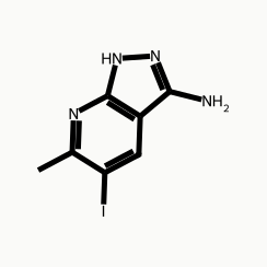 Cc1nc2[nH]nc(N)c2cc1I